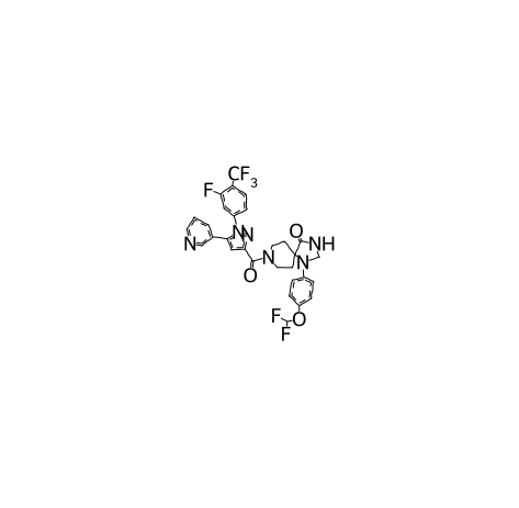 O=C(c1cc(-c2cccnc2)n(-c2ccc(C(F)(F)F)c(F)c2)n1)N1CCC2(CC1)C(=O)NCN2c1ccc(OC(F)F)cc1